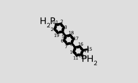 Pc1ccc(-c2ccc(-c3ccc(P)c(I)c3)cc2)cc1